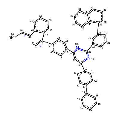 C/C=C(/c1ccc(-c2cc(-c3ccc(-c4ccccc4)cc3)nc(-c3cccc(-c4cccc5ccccc45)c3)n2)cc1)c1ccccc1/C=C/CCC